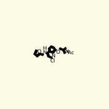 CC(=O)N1CC(COc2cccc3c(NCc4ccco4)cc(Cl)nc23)C1